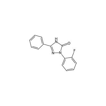 O=c1[nH]c(-c2ccccc2)nn1-c1ccccc1F